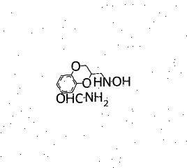 NC=O.ONCC1COc2ccccc2O1